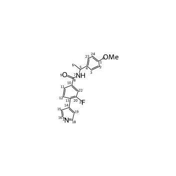 COc1ccc(C(C)NC(=O)c2ccc(-c3ccncc3)c(F)c2)cc1